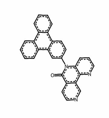 O=c1c2ccncc2c2ncccc2n1-c1ccc2c3ccccc3c3ccccc3c2c1